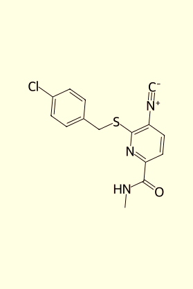 [C-]#[N+]c1ccc(C(=O)NC)nc1SCc1ccc(Cl)cc1